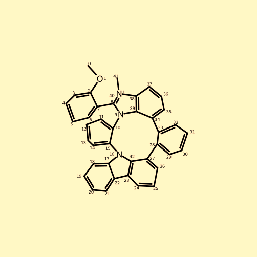 COc1ccccc1-c1n2c3ccccc3n3c4ccccc4c4cccc(c5ccccc5c5cccc(c52)[n+]1C)c43